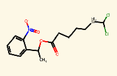 CC(OC(=O)CCCC[SiH2]C(Cl)Cl)c1ccccc1[N+](=O)[O-]